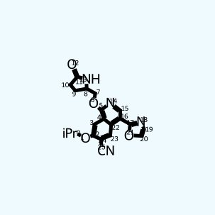 CC(C)Oc1cc2c(OCC3CCC(=O)N3)ncc(-c3ncco3)c2cc1C#N